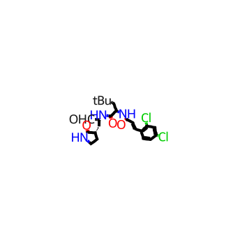 CC(C)(C)CC(NC(=O)/C=C/c1ccc(Cl)cc1Cl)C(=O)NC(C=O)C[C@@H]1CCNC1=O